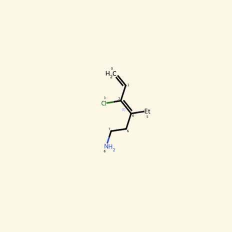 C=C/C(Cl)=C(\CC)CCN